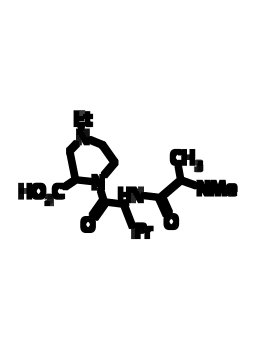 CCN1CCN(C(=O)C(NC(=O)C(C)NC)C(C)C)C(C(=O)O)C1